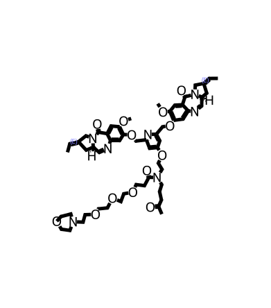 C/C=C1\C[C@H]2C=Nc3cc(OCc4cc(OCCN(CCCC(C)=O)C(=O)CCOCCOCCOCCN5CCOCC5)cc(COc5cc6c(cc5OC)C(=O)N5C/C(=C/C)C[C@H]5C=N6)n4)c(OC)cc3C(=O)N2C1